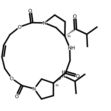 CC(C)N[C@]12CCN(C1)C(=O)OCC=CCOC(=O)N1CC[C@](C(=O)C(C)C)(C1)NCC2=O